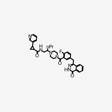 CCCC(CNC(=O)C1CC1c1cccnc1)N1CCN(C(=O)c2cc(Cc3n[nH]c(=O)c4ccccc34)ccc2F)CC1